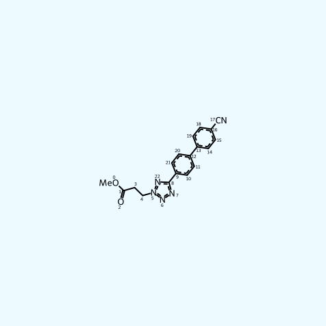 COC(=O)CCn1nnc(-c2ccc(-c3ccc(C#N)cc3)cc2)n1